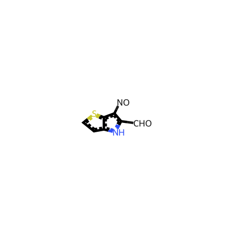 O=Cc1[nH]c2ccsc2c1N=O